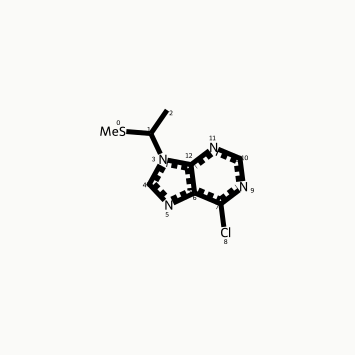 CSC(C)n1cnc2c(Cl)ncnc21